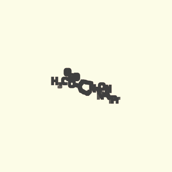 CC(C)c1noc(N2CCC(OS(C)(=O)=O)CC2)n1